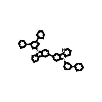 c1ccc(-c2cc(-c3ccccc3)cc(-n3c4ccccc4c4cc(-c5ccc6c(c5)c5ncccc5n6-c5cccc(-c6ccccc6)c5)ccc43)c2)cc1